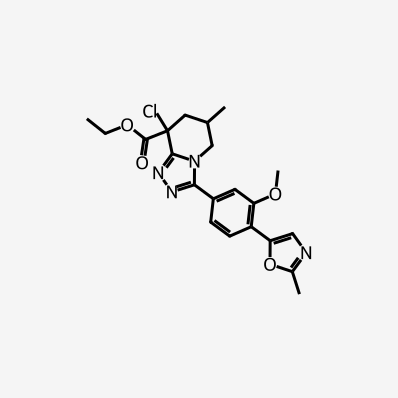 CCOC(=O)C1(Cl)CC(C)Cn2c(-c3ccc(-c4cnc(C)o4)c(OC)c3)nnc21